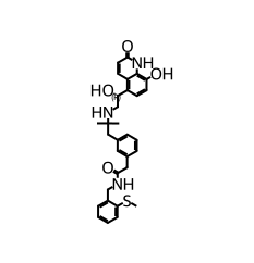 CSc1ccccc1CNC(=O)Cc1cccc(CC(C)(C)NC[C@H](O)c2ccc(O)c3[nH]c(=O)ccc23)c1